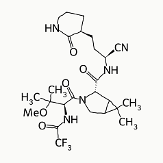 COC(C)(C)[C@H](NC(=O)C(F)(F)F)C(=O)N1CC2C([C@H]1C(=O)N[C@H](C#N)CC[C@@H]1CCCNC1=O)C2(C)C